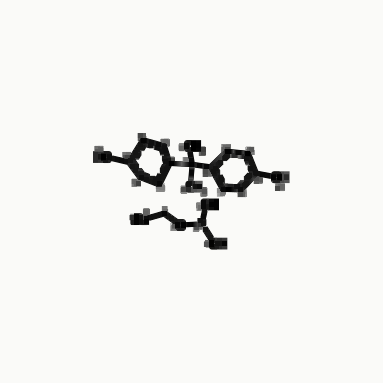 CC(C)(C)COP(O)O.CC(C)(c1ccc(O)cc1)c1ccc(O)cc1